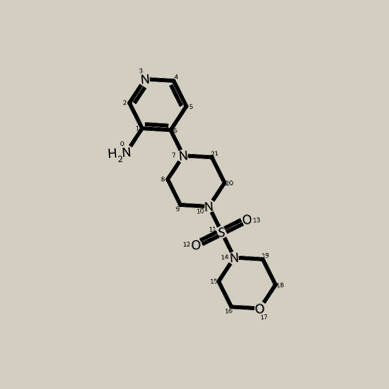 Nc1cnccc1N1CCN(S(=O)(=O)N2CCOCC2)CC1